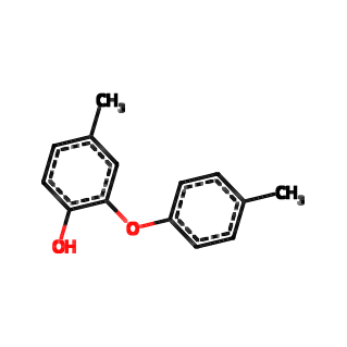 Cc1ccc(Oc2cc(C)ccc2O)cc1